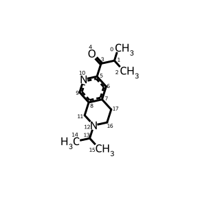 CC(C)C(=O)c1cc2c(cn1)CN(C(C)C)CC2